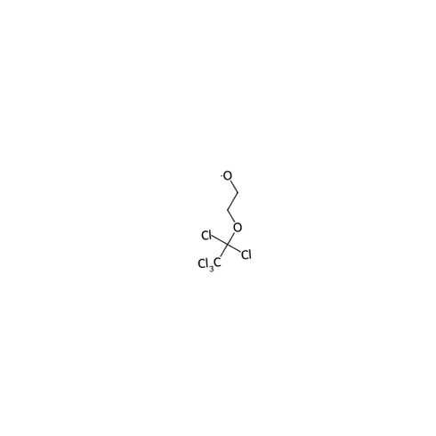 [O]CCOC(Cl)(Cl)C(Cl)(Cl)Cl